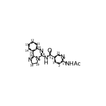 CC(=O)Nc1ccc(C(=O)NC2=Nc3ccccc3C3=NCCN23)cn1